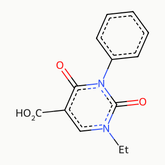 CCn1cc(C(=O)O)c(=O)n(-c2ccccc2)c1=O